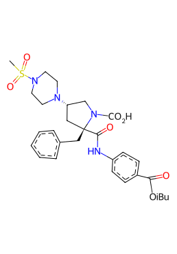 CC(C)COC(=O)c1ccc(NC(=O)[C@]2(Cc3ccccc3)C[C@H](N3CCN(S(C)(=O)=O)CC3)CN2C(=O)O)cc1